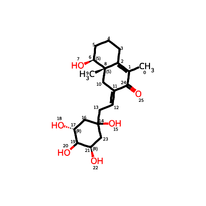 CC1=C2CCC[C@H](O)[C@@]2(C)CC(=CCC2(O)C[C@@H](O)C(O)[C@H](O)C2)C1=O